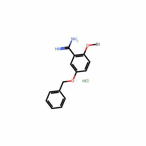 CCOc1ccc(OCc2ccccc2)cc1C(=N)N.Cl